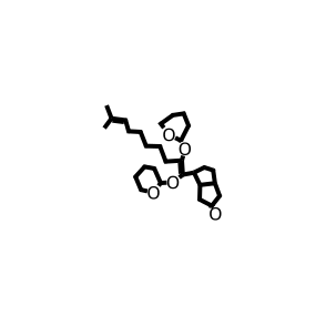 CC(C)=CCCCCCC(OC1CCCCO1)=C(OC1CCCCO1)C1CCC2CC(=O)CC21